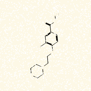 COC(=O)c1ccc(OCCN2CCOCC2)c(Cl)c1